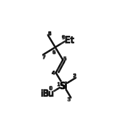 CCC(C)[Si](C)(C)C=CC(C)(C)CC